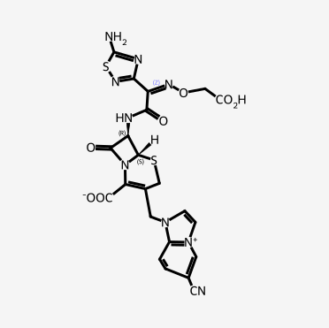 N#Cc1ccc2n(CC3=C(C(=O)[O-])N4C(=O)[C@@H](NC(=O)/C(=N\OCC(=O)O)c5nsc(N)n5)[C@@H]4SC3)cc[n+]2c1